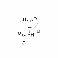 CCC(C)(NC(=O)O)C(=O)N(C)C.Cl